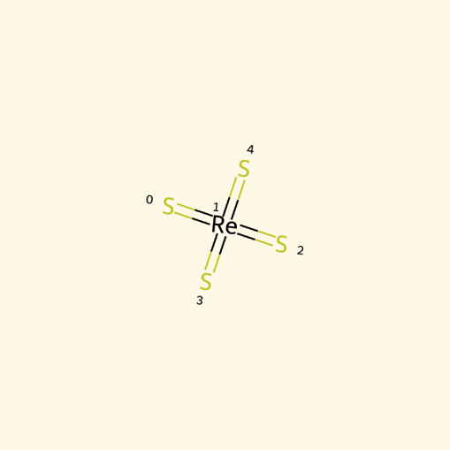 [S]=[Re](=[S])(=[S])=[S]